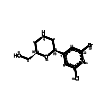 OC[C@@H]1CNC[C@@H](c2cc(Cl)nc(Br)c2)O1